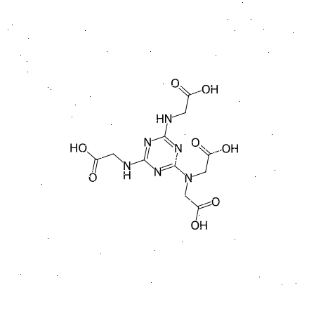 O=C(O)CNc1nc(NCC(=O)O)nc(N(CC(=O)O)CC(=O)O)n1